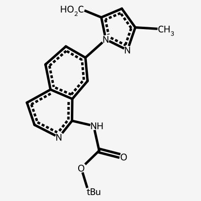 Cc1cc(C(=O)O)n(-c2ccc3ccnc(NC(=O)OC(C)(C)C)c3c2)n1